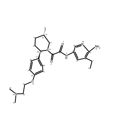 CCc1cc(NC(=O)C(=O)N2C[C@@H](C)CC[C@@H]2c2ccc(OCCN(C)C)cc2)cnc1N